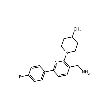 CC1CCN(c2nc(-c3ccc(F)cc3)ccc2CN)CC1